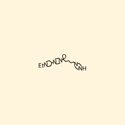 CCN1CCC(N2CCN(C(=O)CCCCN3CCNCC3)CC2)CC1